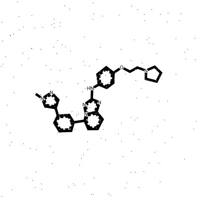 Cn1cc(-c2cccc(-c3cccc4nc(Nc5ccc(OCCN6CCCC6)cc5)nn34)c2)cn1